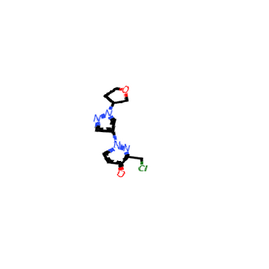 O=c1ccn(-c2cnn(C3CCOC3)c2)nc1CCl